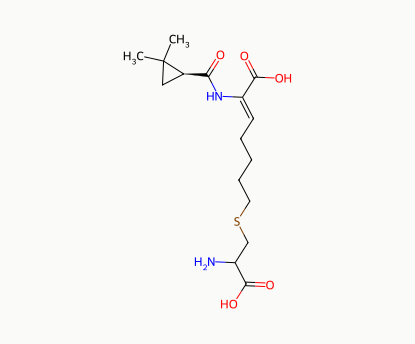 CC1(C)C[C@@H]1C(=O)N/C(=C\CCCCSCC(N)C(=O)O)C(=O)O